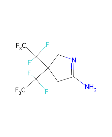 NC1=NCC(C(F)(F)C(F)(F)F)(C(F)(F)C(F)(F)F)C1